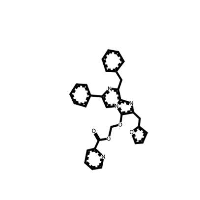 O=C(OCOc1c(Cc2ccco2)nc2c(Cc3ccccc3)nc(-c3ccccc3)cn12)c1ccccn1